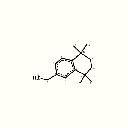 BCc1ccc2c(c1)C(C)(C)CCC2(C)C